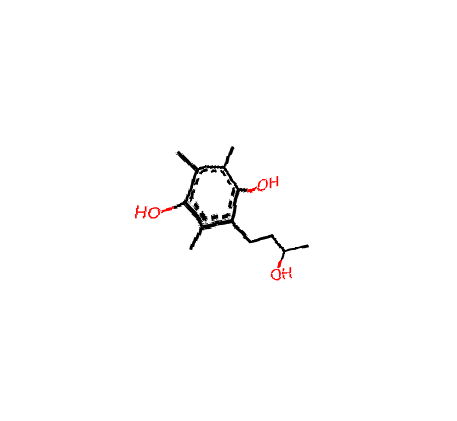 Cc1c(C)c(O)c(CCC(C)O)c(C)c1O